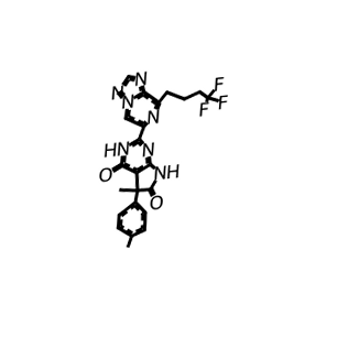 Cc1ccc(C2(C)C(=O)Nc3nc(-c4cn5ncnc5c(CCCC(F)(F)F)n4)[nH]c(=O)c32)cc1